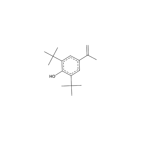 C=C(C)c1cc(C(C)(C)C)c(O)c(C(C)(C)C)c1